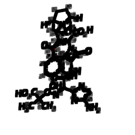 CC(C)(O/N=C(\C(=O)N[C@@H]1C(=O)N2C(C(=O)O)=C(C[N+]3(C)[C@@H]4CC[C@H]3C[C@@H](NC(=O)c3ccc(O)c(O)c3Cl)C4)CS[C@H]12)c1nsc(N)n1)C(=O)O